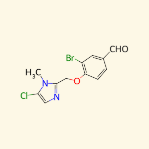 Cn1c(Cl)cnc1COc1ccc(C=O)cc1Br